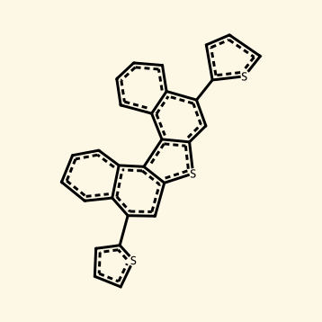 c1csc(-c2cc3sc4cc(-c5cccs5)c5ccccc5c4c3c3ccccc23)c1